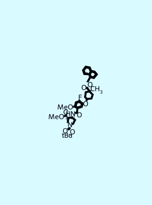 COC(=O)[C@@H]1CN(C(=O)OC(C)(C)C)CC[C@@H]1NC(=O)c1cc(OC2CCC(C)(C(=O)OCc3cccc4ccccc34)CC2)c(F)cc1OC